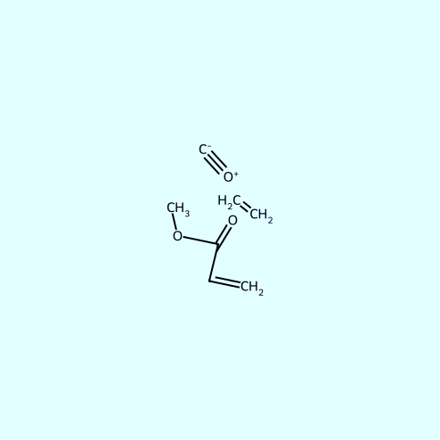 C=C.C=CC(=O)OC.[C-]#[O+]